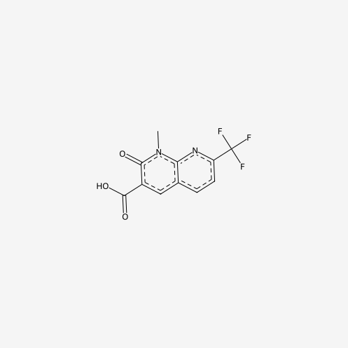 Cn1c(=O)c(C(=O)O)cc2ccc(C(F)(F)F)nc21